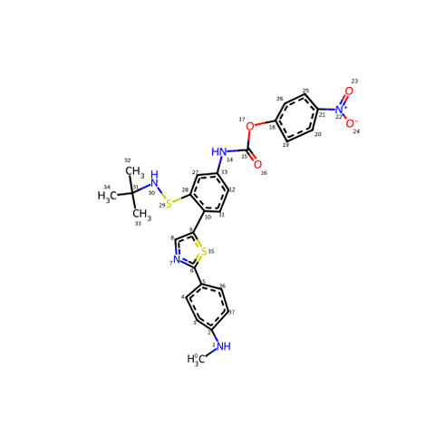 CNc1ccc(-c2ncc(-c3ccc(NC(=O)Oc4ccc([N+](=O)[O-])cc4)cc3SNC(C)(C)C)s2)cc1